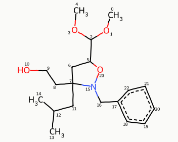 COC(OC)C1CC(CCO)(CC(C)C)N(Cc2ccccc2)O1